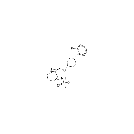 CS(=O)(=O)N[C@H]1CCCN[C@H]1CO[C@H]1CC[C@@H](c2ccccc2F)CC1